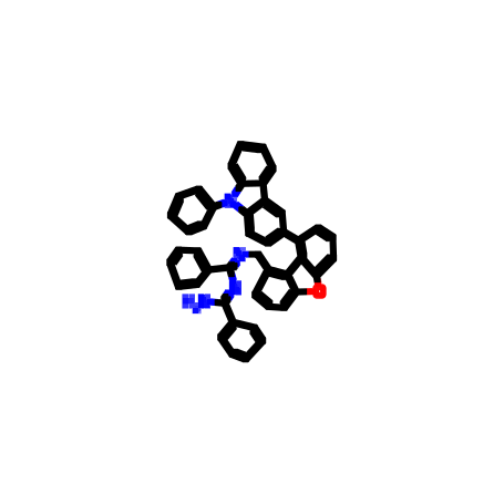 N/C(=N\C(=N/Cc1cccc2oc3cccc(-c4ccc5c(c4)c4ccccc4n5-c4ccccc4)c3c12)c1ccccc1)c1ccccc1